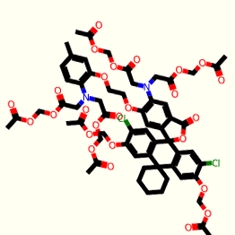 CC(=O)OCOC(=O)CN(CC(=O)OCOC(C)=O)c1ccc(C)cc1OCCOc1cc2c(cc1N(CC(=O)OCOC(C)=O)CC(=O)OCOC(C)=O)C(=O)OC21c2cc(Cl)c(OCOC(C)=O)cc2C2(CCCCC2)c2cc(OCOC(C)=O)c(Cl)cc21